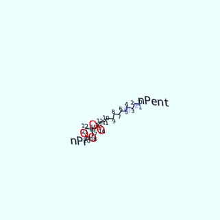 CCCCC/C=C/C/C=C/CCCCCCCC(=O)OC1COC(CCC)OC1